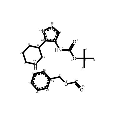 CC(C)(C)OC(=O)Nc1csnc1C1CCCNC1.O=COCc1ccccc1